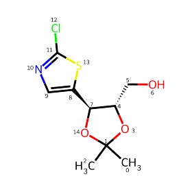 CC1(C)O[C@@H](CO)[C@H](c2cnc(Cl)s2)O1